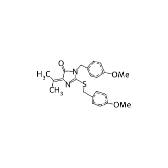 COc1ccc(CSC2=NC(=C(C)C)C(=O)N2Cc2ccc(OC)cc2)cc1